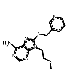 CSCCn1c(NCc2cccnc2)nc2c(N)ncnc21